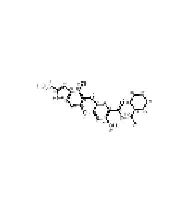 C[C@@H](NC(=O)c1cc(Oc2c(Cl)cc3[nH]c(C(=O)O)cc3c2Cl)ccc1O)C1CCCCC1